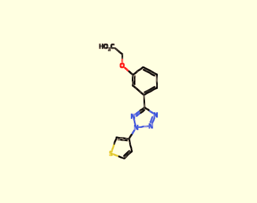 O=C(O)COc1cccc(-c2nnn(-c3ccsc3)n2)c1